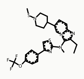 CCc1nc2ccc(C3CCN(SC)CC3)cn2c1N(C)c1nc(-c2ccc(OC(F)(F)F)cc2)cs1